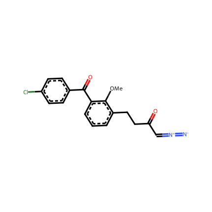 COc1c(CCC(=O)C=[N+]=[N-])cccc1C(=O)c1ccc(Cl)cc1